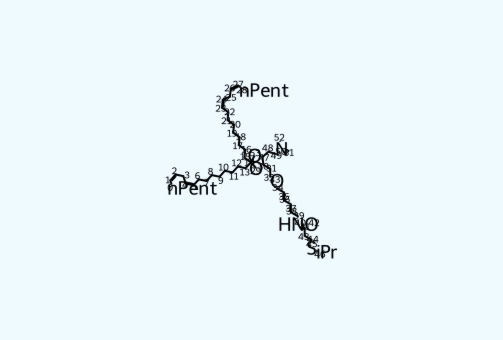 CCCCC/C=C\C/C=C\CCCCCCCCC1(CCCCCCCC/C=C\C/C=C\CCCCC)OC(CCOCCCCCCNC(=O)CCSC(C)C)C(CCN(C)C)O1